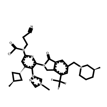 C[C@H]1CCCN(Cc2cc3c(c(C(F)(F)F)c2)CN(c2nc(N(CCC#N)C(=O)Cl)cc([C@H]4C[C@H](C)C4)c2-[n+]2cn(C)cn2)C3=O)C1